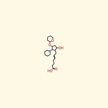 O=C(O)CCCC=CCC1C(O)CC(OC2CCCCO2)C1N1CCCCC1